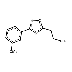 COc1cccc(-c2noc(CCN)n2)c1